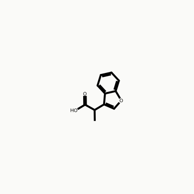 CC(C(=O)O)c1coc2ccccc12